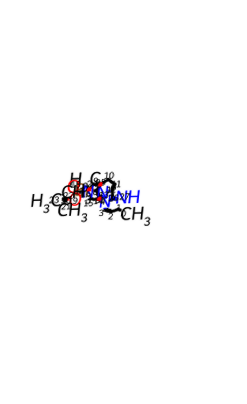 CC/C=C\N1/C=C(/Br)C(C)C/C=C(\N2CCN(C(=O)OC(C)(C)C)CC2)C1=N